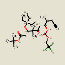 C#CC[C@H](C)[C@@H](CC(=O)C(C)(C)[C@H](CC(=O)OC(C)(C)C)O[Si](CC)(CC)CC)OC(=O)OCC(Cl)(Cl)Cl